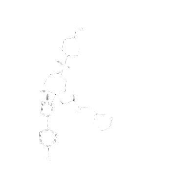 COC1CCN(S(=O)(=O)N2CC[C@](CC(=O)NOC3CCCCO3)(c3ccc(-c4ccc(Cl)cc4)s3)S(=O)(=O)CC2)CC1